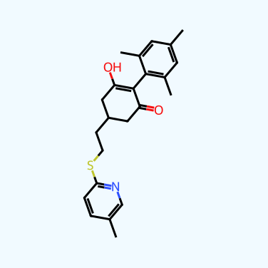 Cc1ccc(SCCC2CC(=O)C(c3c(C)cc(C)cc3C)=C(O)C2)nc1